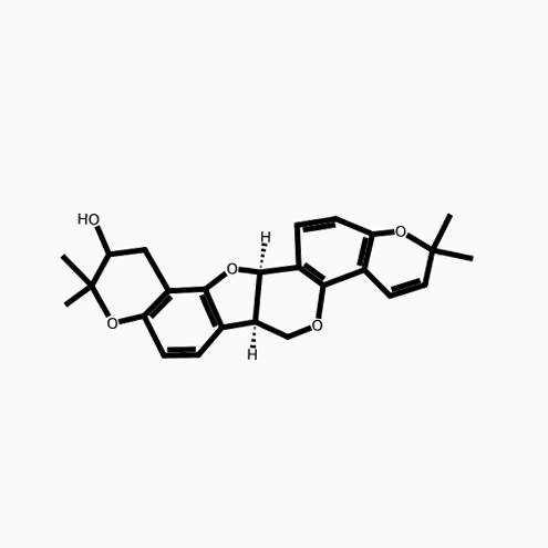 CC1(C)C=Cc2c(ccc3c2OC[C@H]2c4ccc5c(c4O[C@@H]32)CC(O)C(C)(C)O5)O1